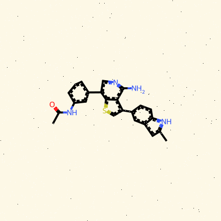 CC(=O)Nc1cccc(-c2cnc(N)c3c(-c4ccc5[nH]c(C)cc5c4)csc23)c1